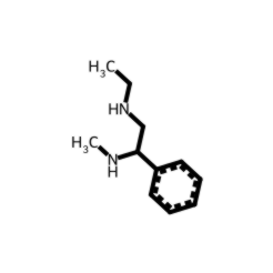 CCNCC(NC)c1ccccc1